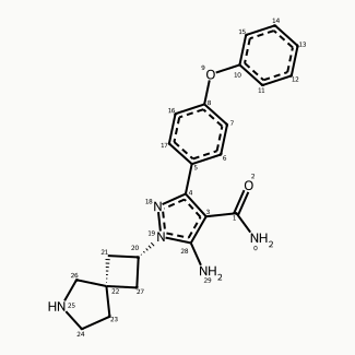 NC(=O)c1c(-c2ccc(Oc3ccccc3)cc2)nn([C@H]2C[C@@]3(CCNC3)C2)c1N